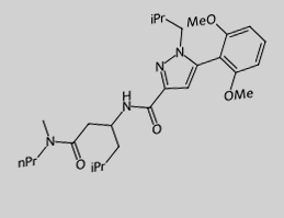 CCCN(C)C(=O)CC(CC(C)C)NC(=O)c1cc(-c2c(OC)cccc2OC)n(CC(C)C)n1